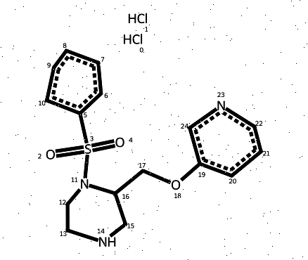 Cl.Cl.O=S(=O)(c1ccccc1)N1CCNCC1COc1cccnc1